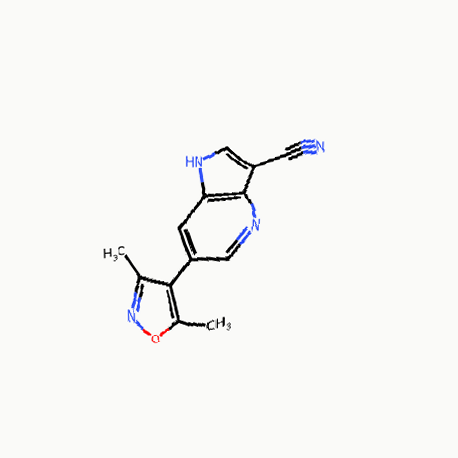 Cc1noc(C)c1-c1cnc2c(C#N)c[nH]c2c1